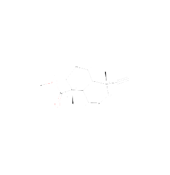 C#C[C@]1(C)CCCC2C1CCC[C@@]2(C)C(=O)OC